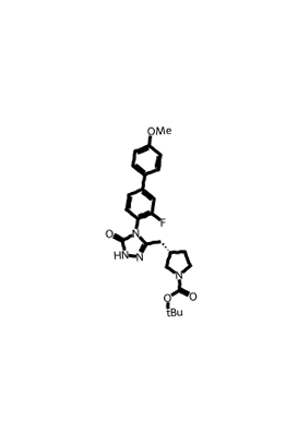 COc1ccc(-c2ccc(-n3c(C[C@@H]4CCN(C(=O)OC(C)(C)C)C4)n[nH]c3=O)c(F)c2)cc1